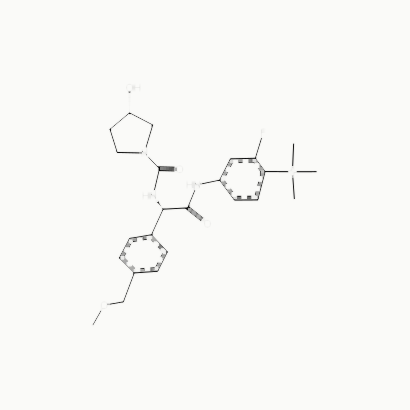 COCc1ccc([C@@H](NC(=O)N2CC[C@H](O)C2)C(=O)Nc2ccc(S(C)(C)C)c(F)c2)cc1